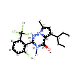 CCC(CC)c1cc(C)n2nc(-c3c(F)cccc3C(F)(F)F)n(C)c(=O)c12